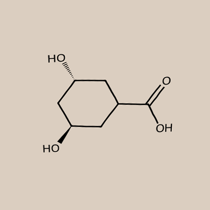 O=C(O)C1C[C@@H](O)C[C@H](O)C1